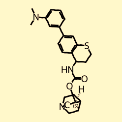 CN(C)c1cccc(-c2ccc3c(c2)SCCC3NC(=O)O[C@@H]2CN3CCC2CC3)c1